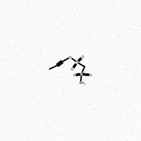 CC#COS(=O)(=O)CS(N)(=O)=O